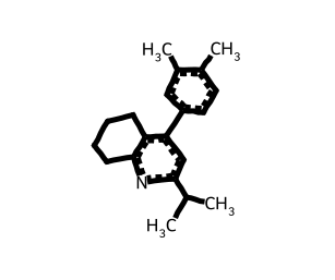 Cc1ccc(-c2cc(C(C)C)nc3c2CCCC3)cc1C